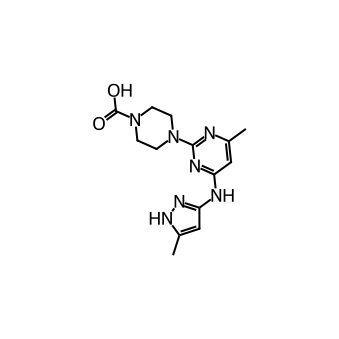 Cc1cc(Nc2cc(C)[nH]n2)nc(N2CCN(C(=O)O)CC2)n1